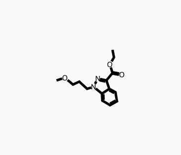 CCOC(=O)c1nn(CCCOC)c2ccccc12